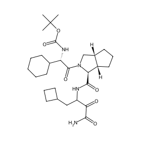 CC(C)(C)OC(=O)N[C@H](C(=O)N1C[C@@H]2CCC[C@@H]2[C@H]1C(=O)NC(CC1CCC1)C(=O)C(N)=O)C1CCCCC1